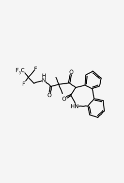 CC(C)(C(=O)NCC(F)(F)C(F)(F)F)C(=O)C1C(=O)Nc2ccccc2-c2ccccc21